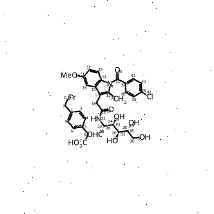 CC(C)Cc1ccc(CC(=O)O)cc1.COc1ccc2c(c1)c(CC(=O)N[C@@H](C=O)[C@@H](O)[C@H](O)[C@H](O)CO)c(C)n2C(=O)c1ccc(Cl)cc1